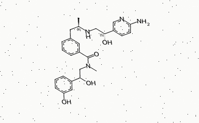 C[C@H](Cc1cccc(C(=O)N(C)CC(O)c2cccc(O)c2)c1)NC[C@@H](O)c1ccc(N)nc1